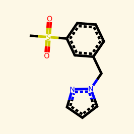 CS(=O)(=O)c1cccc(Cn2cccn2)c1